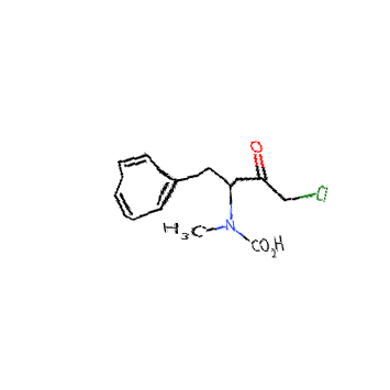 CN(C(=O)O)C(Cc1ccccc1)C(=O)CCl